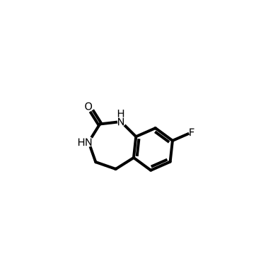 O=C1NCCc2ccc(F)cc2N1